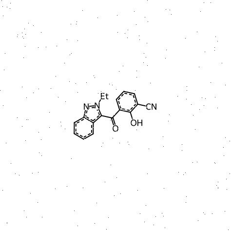 CCn1nc2ccccc2c1C(=O)c1cccc(C#N)c1O